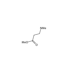 CNCCC(=O)OC